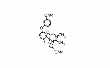 COc1cccc(Oc2ccc3c(c2)C2(N=C(N)N(C)CC2=O)C2(CCC(OC)CC2)C3)c1